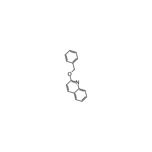 c1ccc(COc2ccc3ccccc3n2)cc1